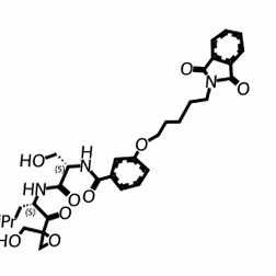 CC(C)C[C@H](NC(=O)[C@H](CO)NC(=O)c1cccc(OCCCCCN2C(=O)c3ccccc3C2=O)c1)C(=O)C1(CO)CO1